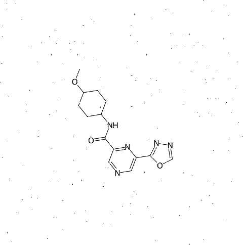 COC1CCC(NC(=O)c2cncc(-c3nnco3)n2)CC1